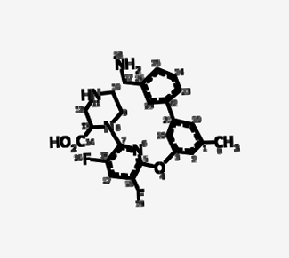 Cc1cc(Oc2nc(N3CCNCC3C(=O)O)c(F)cc2F)cc(-c2cccc(CN)c2)c1